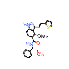 COc1c(C(=O)N[C@H](CO)c2ccccc2)ccc2[nH]nc(/C=C/c3cccs3)c12